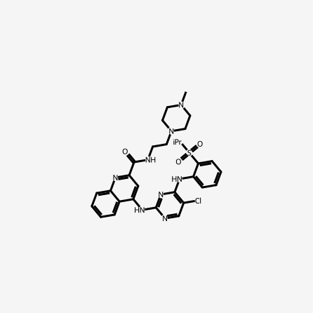 CC(C)S(=O)(=O)c1ccccc1Nc1nc(Nc2cc(C(=O)NCCN3CCN(C)CC3)nc3ccccc23)ncc1Cl